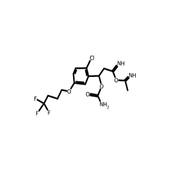 CC(=N)OC(=N)CC(OC(N)=O)c1cc(OCCCC(F)(F)F)ccc1Cl